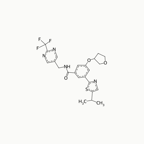 CC(C)c1cnc(-c2cc(OC3CCOC3)cc(C(=O)NCc3cnc(C(F)(F)F)nc3)c2)s1